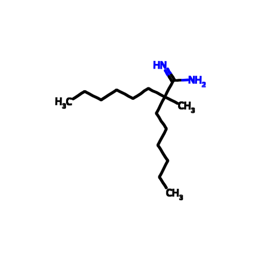 CCCCCCC(C)(CCCCCC)C(=N)N